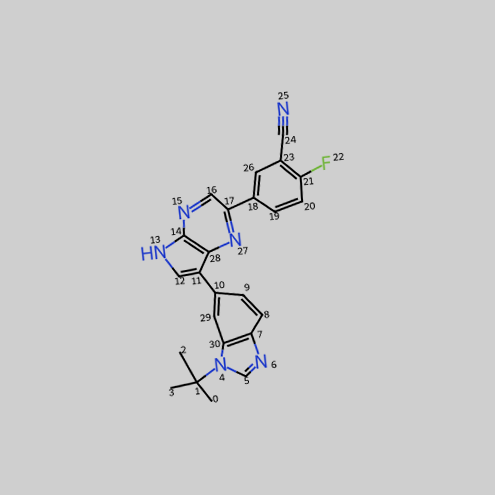 CC(C)(C)n1cnc2ccc(-c3c[nH]c4ncc(-c5ccc(F)c(C#N)c5)nc34)cc21